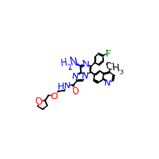 Cc1ccnc2ccc(-c3c(-c4ccc(F)cc4)nc(N)c4nc(C(=O)NCCOCC5CCCO5)cn34)cc12